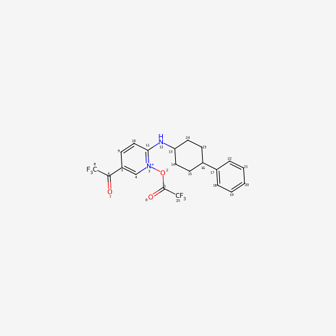 O=C(O[n+]1cc(C(=O)C(F)(F)F)ccc1NC1CCC(c2ccccc2)CC1)C(F)(F)F